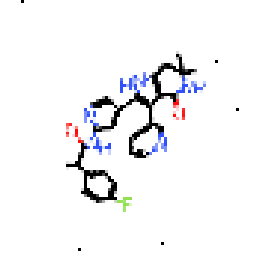 CC(C(=O)Nc1cc(-c2[nH]c3c(c2-c2cccnc2)C(=O)NC(C)(C)C3)ccn1)c1ccc(F)cc1